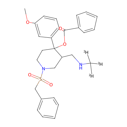 [2H]C([2H])([2H])NCC1CN(S(=O)(=O)Cc2ccccc2)CCC1(OC(=O)c1ccccc1)c1cccc(OC)c1